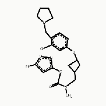 CCc1cc(OC(=O)N(C)CC2CC(Oc3ccc(CN4CCCC4)c(Cl)c3)C2)no1